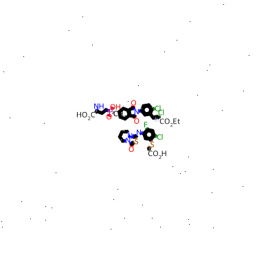 CCOC(=O)/C(Cl)=C/c1cc(N2C(=O)C3=C(CCCC3)C2=O)ccc1Cl.CP(=O)(O)CCC(N)C(=O)O.O=C(O)CSc1cc(N=c2sc(=O)n3n2CCCC3)c(F)cc1Cl